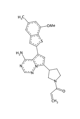 C=CC(=O)N1CCC(c2cc(-c3cc4cc(C)cc(OC)c4s3)c3c(N)ncnn23)C1